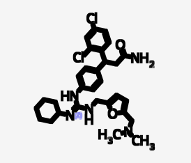 CN(C)Cc1ccc(CN/C(=N/C2CCCCC2)Nc2ccc(C(CC(N)=O)c3ccc(Cl)cc3Cl)cc2)o1